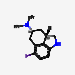 CCCN(CCC)[C@H]1Cc2c(I)ccc3c2[C@@H](CN3)C1